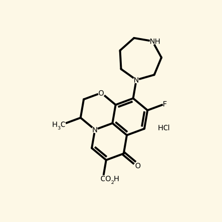 CC1COc2c(N3CCCNCC3)c(F)cc3c(=O)c(C(=O)O)cn1c23.Cl